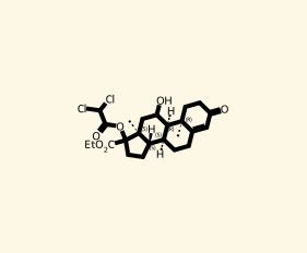 CCOC(=O)C1(OC(=O)C(Cl)Cl)CC[C@H]2[C@@H]3CCC4=CC(=O)CC[C@]4(C)[C@@H]3C(O)C[C@@]21C